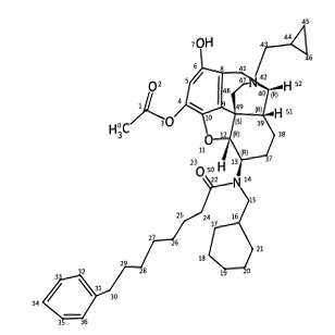 CC(=O)Oc1cc(O)c2c3c1O[C@H]1[C@H](N(CC4CCCCC4)C(=O)CCCCCCCc4ccccc4)CC[C@H]4[C@@H](C2)N(CC2CC2)CC[C@@]341